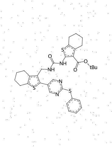 CC(C)(C)OC(=O)c1c(NC(=O)NCc2c(-c3cnc(Sc4ccccc4)nc3)sc3c2CCCC3)sc2c1CCCC2